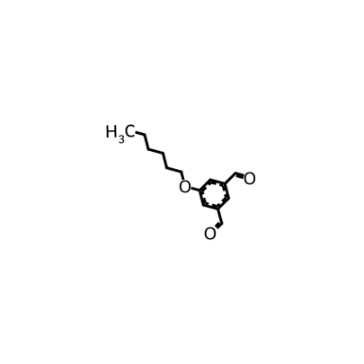 CCCCCCOc1cc(C=O)cc(C=O)c1